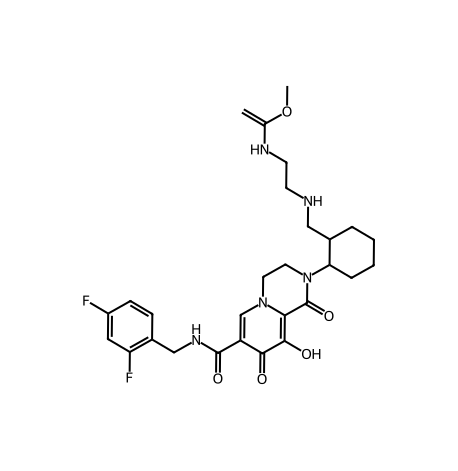 C=C(NCCNCC1CCCCC1N1CCn2cc(C(=O)NCc3ccc(F)cc3F)c(=O)c(O)c2C1=O)OC